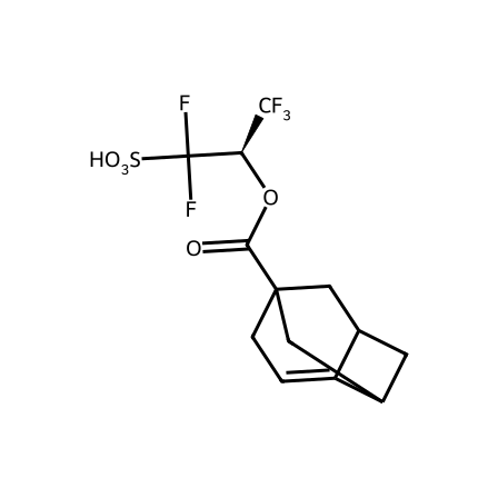 O=C(O[C@H](C(F)(F)F)C(F)(F)S(=O)(=O)O)C12CC=C3C(CC3C1)C2